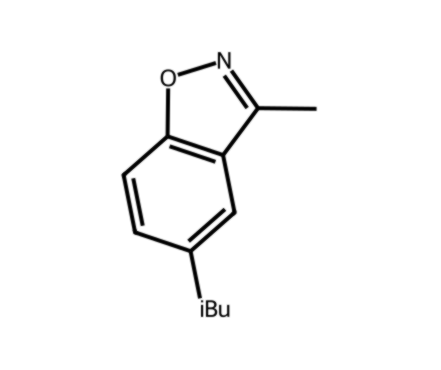 CCC(C)c1ccc2onc(C)c2c1